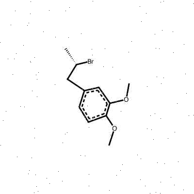 COc1ccc(C[C@H](C)Br)cc1OC